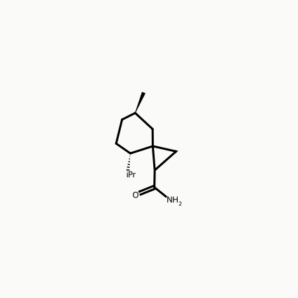 CC(C)[C@@H]1CC[C@@H](C)CC12CC2C(N)=O